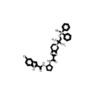 CC(C)(CO[Si](c1ccccc1)(c1ccccc1)C(C)(C)C)N1CCc2nc(C(=O)N[C@H]3CCC[C@@H]3NC(=O)c3cc4cc(Cl)ccc4[nH]3)sc2C1